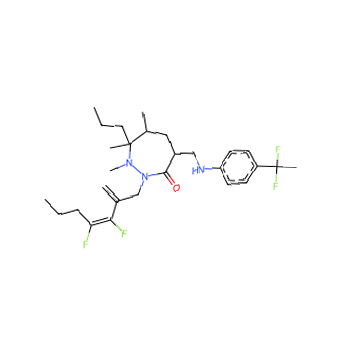 C=C(CN1C(=O)C(CNc2ccc(C(C)(F)F)cc2)CC(C)C(C)(CCC)N1C)/C(F)=C(/F)CCC